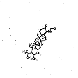 CC(C)N(C(=O)[C@H]1CC[C@H]2[C@@H]3CCC4=C(NC=O)C(=O)CC[C@]4(C)[C@H]3CC[C@]12C)C(C)C